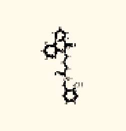 Cc1ccccc1CNC(=O)CCCn1c(=O)c2cccn2c2cccnc21